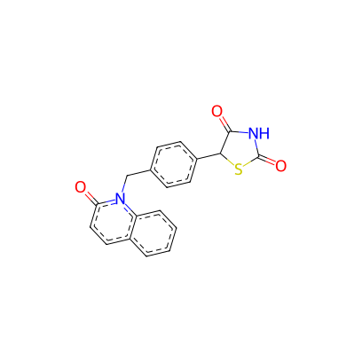 O=C1NC(=O)C(c2ccc(Cn3c(=O)ccc4ccccc43)cc2)S1